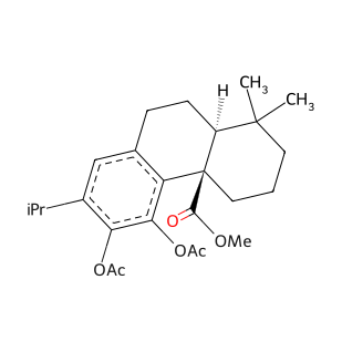 COC(=O)[C@]12CCCC(C)(C)[C@@H]1CCc1cc(C(C)C)c(OC(C)=O)c(OC(C)=O)c12